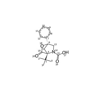 CC(C)(C)[C@@]12C[C@](c3ccccc3)(CN1C(=O)O)OC2=O